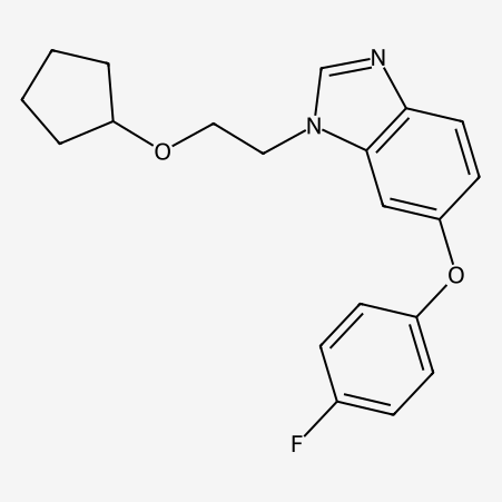 Fc1ccc(Oc2ccc3ncn(CCOC4CCCC4)c3c2)cc1